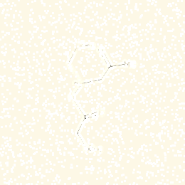 CCCCCCCCCCCC(=O)O[C@H](CCCCCCCCCCC)CC([NH])=O